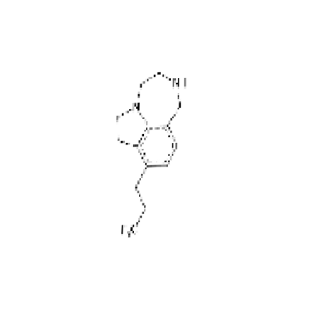 FC(F)(F)CCc1ccc2c3c1CCN3CCNC2